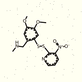 CNCc1cc(OC)c(OC)cc1SSc1ncccc1[N+](=O)[O-]